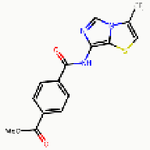 COC(=O)c1ccc(C(=O)Nc2ncn3c(C(F)(F)F)csc23)cc1